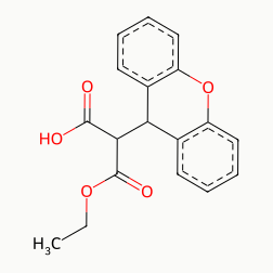 CCOC(=O)C(C(=O)O)C1c2ccccc2Oc2ccccc21